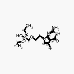 CCO[PH](O)(COCCn1cc(F)c2c(=O)[nH]c(N)nc21)OCC